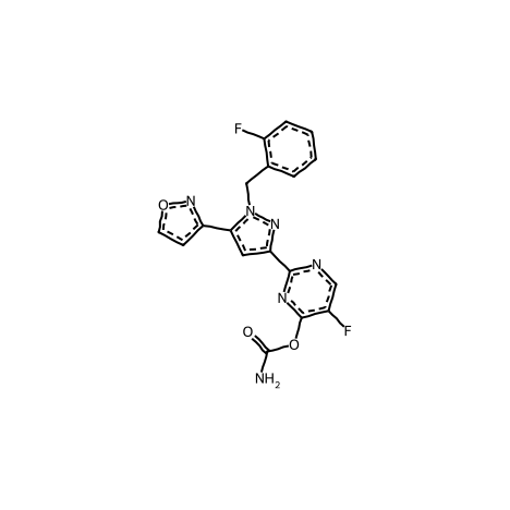 NC(=O)Oc1nc(-c2cc(-c3ccon3)n(Cc3ccccc3F)n2)ncc1F